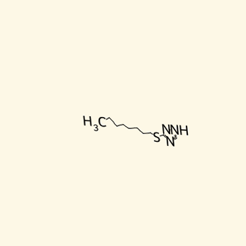 CCCCCCCCSc1nc[nH]n1